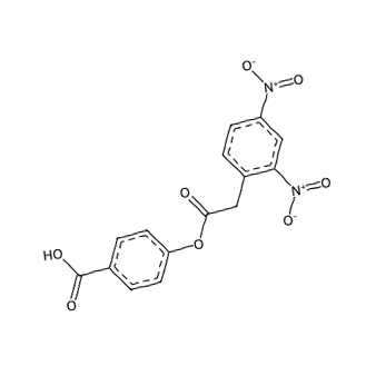 O=C(Cc1ccc([N+](=O)[O-])cc1[N+](=O)[O-])Oc1ccc(C(=O)O)cc1